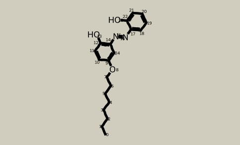 CCCCCCCCOc1ccc(O)c(N=Nc2ccccc2O)c1